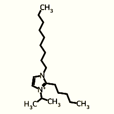 CCCCCCCCCn1cc[n+](C(C)C)c1CCCCC